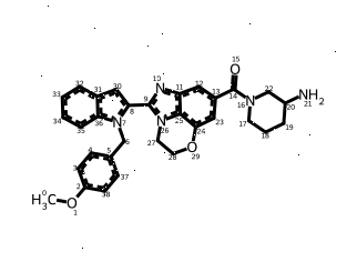 COc1ccc(Cn2c(-c3nc4cc(C(=O)N5CCCC(N)C5)cc5c4n3CCO5)cc3ccccc32)cc1